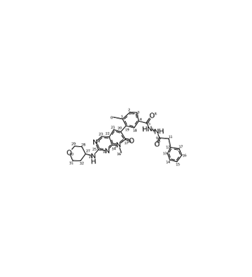 Cc1ccc(C(=O)NNC(=O)Cc2ccccc2)cc1-c1cc2cnc(NC3CCOCC3)nc2n(C)c1=O